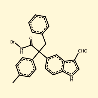 Cc1ccc(C(Cc2ccccc2)(C(=O)NBr)c2ccc3[nH]cc(C=O)c3c2)cc1